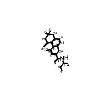 C=C(NC(C)CC)C1=C=C(C)c2c(ccc3c2C(=C)CC(C)(C)C3)C1